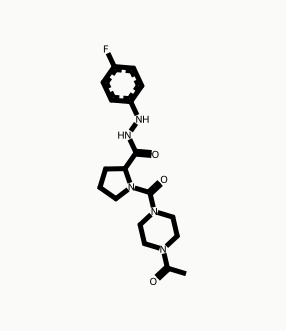 CC(=O)N1CCN(C(=O)N2CCCC2C(=O)NNc2ccc(F)cc2)CC1